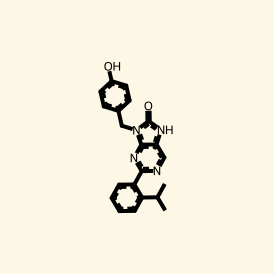 CC(C)c1ccccc1-c1ncc2[nH]c(=O)n(Cc3ccc(O)cc3)c2n1